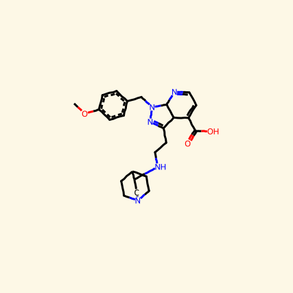 COc1ccc(CN2N=C(CCNC3CN4CCC3CC4)C3C(C(=O)O)=CC=NC32)cc1